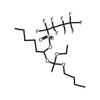 CCCCCC(OC(C)(OCC)OCCCC)OS(=O)(=O)C(F)(F)C(F)(F)C(F)(F)C(F)(F)F